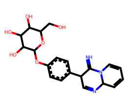 N=C1C(c2ccc(OC3OC(CO)C(O)C(O)C3O)cc2)C=NC2C=CC=CN12